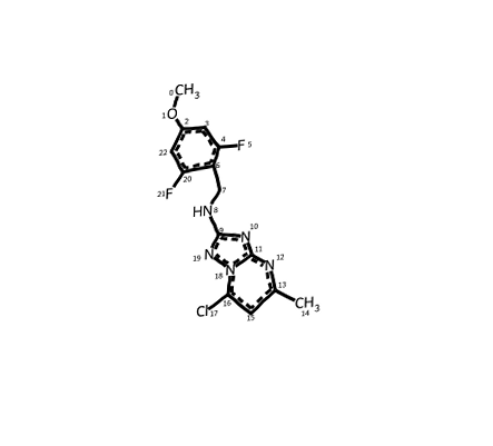 COc1cc(F)c(CNc2nc3nc(C)cc(Cl)n3n2)c(F)c1